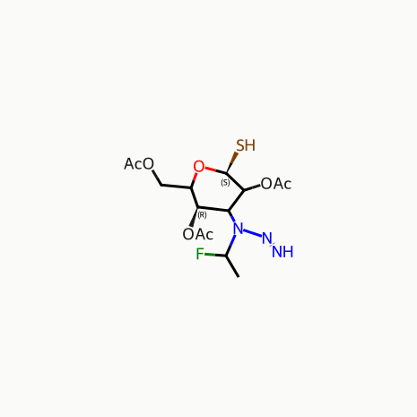 CC(=O)OCC1O[C@@H](S)C(OC(C)=O)C(N(N=N)C(C)F)[C@H]1OC(C)=O